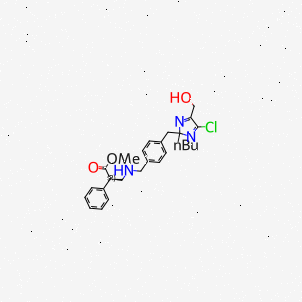 CCCCC1(Cc2ccc(CNC[C@H](C(=O)OC)c3ccccc3)cc2)N=C(Cl)C(CO)=N1